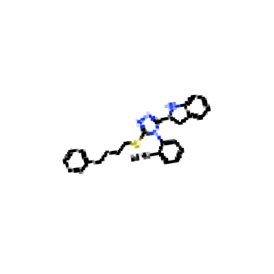 COc1ccccc1-n1c(SCCCCc2ccccc2)nnc1C1Cc2ccccc2N1